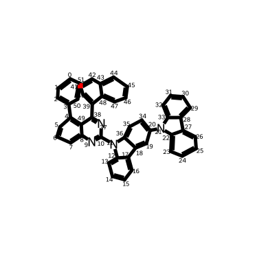 c1ccc(-c2cccc3nc(-n4c5ccccc5c5cc(-n6c7ccccc7c7ccccc76)ccc54)nc(-c4cccc5ccccc45)c23)cc1